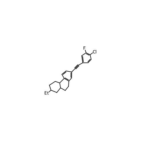 CCC1CCC2c3ccc(C#Cc4ccc(Cl)c(F)c4)cc3CCC2C1